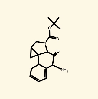 CC(C)(C)OC(=O)N1CC2CC23C2CC=CC=C2C(N)C(=O)C13